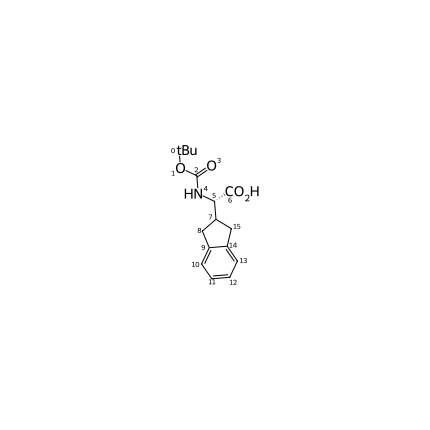 CC(C)(C)OC(=O)N[C@H](C(=O)O)C1Cc2ccccc2C1